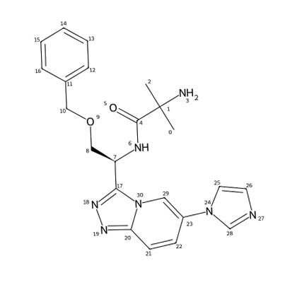 CC(C)(N)C(=O)N[C@H](COCc1ccccc1)c1nnc2ccc(-n3ccnc3)cn12